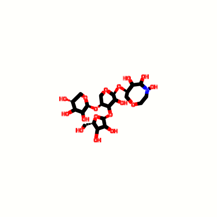 OC[C@@H]1O[C@@H](OC2C(O)[C@H](O[C@@H]3COCCN(O)C(O)C3O)OC[C@H]2O[C@@H]2OC[C@@H](O)C(O)C2O)C(O)C1O